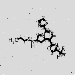 CCCSNC1CC2=C(c3nc(C(F)(F)F)co3)CN=C(c3nccs3)N2C1